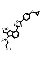 CN(CCN=O)C1c2cccc(-c3noc(-c4ccc(OC5CC5)cc4)n3)c2CC1CC=O